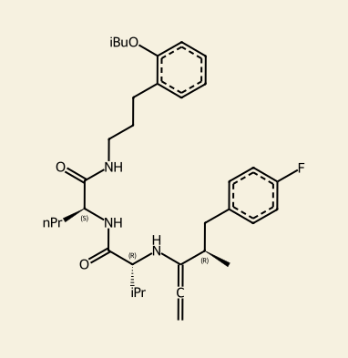 C=C=C(N[C@@H](C(=O)N[C@@H](CCC)C(=O)NCCCc1ccccc1OCC(C)C)C(C)C)[C@H](C)Cc1ccc(F)cc1